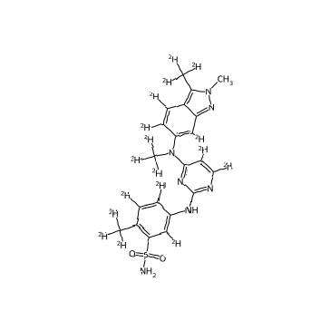 [2H]c1nc(Nc2c([2H])c([2H])c(C([2H])([2H])[2H])c(S(N)(=O)=O)c2[2H])nc(N(c2c([2H])c([2H])c3c(C([2H])([2H])[2H])n(C)nc3c2[2H])C([2H])([2H])[2H])c1[2H]